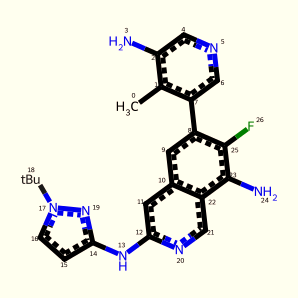 Cc1c(N)cncc1-c1cc2cc(Nc3ccn(C(C)(C)C)n3)ncc2c(N)c1F